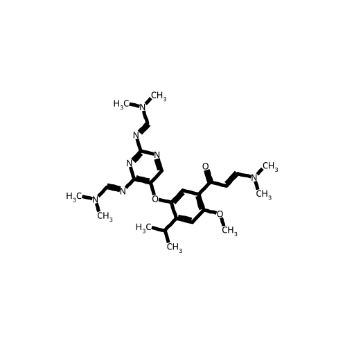 COc1cc(C(C)C)c(Oc2cnc(N=CN(C)C)nc2N=CN(C)C)cc1C(=O)C=CN(C)C